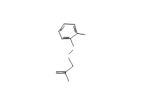 C=C(C)CNSc1ccccc1Br